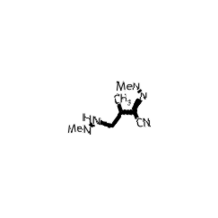 CN/N=C(/C#N)C(C)CNNC